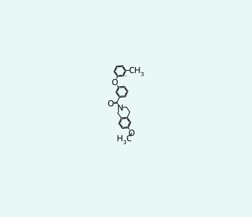 COc1ccc2c(c1)CCN(C(=O)c1cccc(Oc3[c]c(C)ccc3)c1)C2